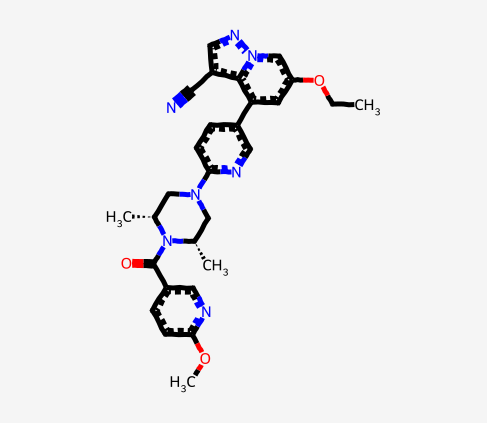 CCOc1cc(-c2ccc(N3C[C@@H](C)N(C(=O)c4ccc(OC)nc4)[C@@H](C)C3)nc2)c2c(C#N)cnn2c1